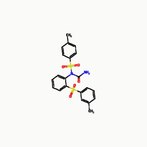 Cc1ccc(S(=O)(=O)N(C(N)=O)c2ccccc2S(=O)(=O)c2cccc(C)c2)cc1